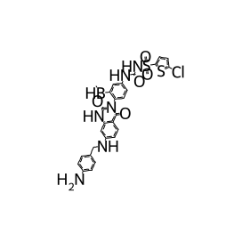 CBc1cc(NC(=O)NS(=O)(=O)c2ccc(Cl)s2)ccc1-n1c(=O)[nH]c2cc(NCc3ccc(N)cc3)ccc2c1=O